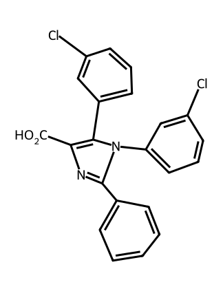 O=C(O)c1nc(-c2ccccc2)n(-c2cccc(Cl)c2)c1-c1cccc(Cl)c1